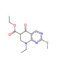 CCOC(=O)C1CN(CC)c2nc(SC)ncc2C1=O